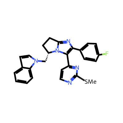 CSc1nccc(-c2c(-c3ccc(F)cc3)nc3n2[C@H](Cn2ccc4ccccc42)CC3)n1